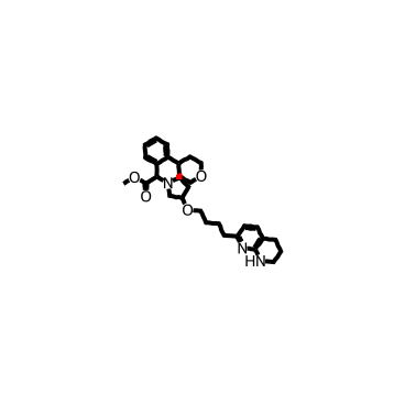 COC(=O)C(c1ccccc1C1CCOCC1)N1CCC(OCCCCc2ccc3c(n2)NCCC3)C1